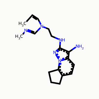 C/C=C\N(/C=N/C)CCNc1nn2c3c(ccc2c1N)CCC3